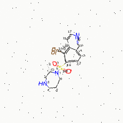 C[C@H]1CNCCCN1S(=O)(=O)c1ccc2cnccc2c1Br